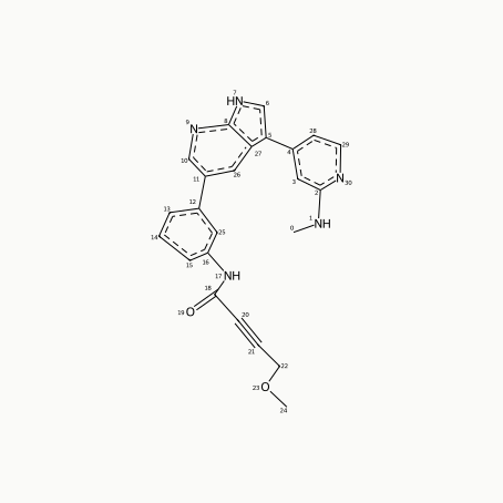 CNc1cc(-c2c[nH]c3ncc(-c4cccc(NC(=O)C#CCOC)c4)cc23)ccn1